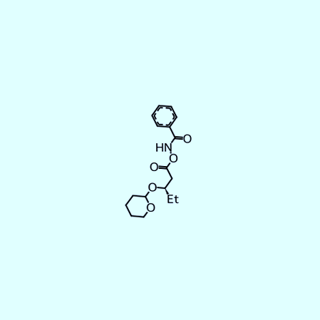 CC[C@H](CC(=O)ONC(=O)c1ccccc1)OC1CCCCO1